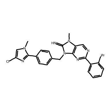 CC(C)c1ccccc1-c1ncc2c(n1)n(Cc1ccc(-c3nc(Cl)cn3C)cc1)c(=N)n2C